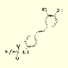 CS(=O)(=O)Nc1ccc(C=Cc2ccc(O)c(O)c2)cc1